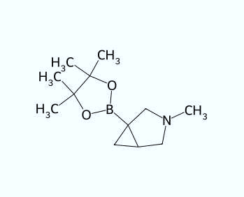 CN1CC2CC2(B2OC(C)(C)C(C)(C)O2)C1